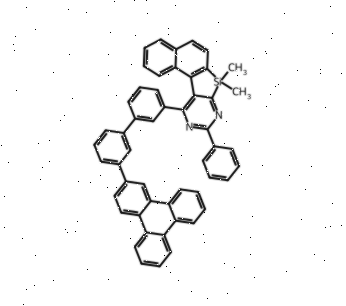 C[Si]1(C)c2ccc3ccccc3c2-c2c(-c3cccc(-c4cccc(-c5ccc6c7ccccc7c7ccccc7c6c5)c4)c3)nc(-c3ccccc3)nc21